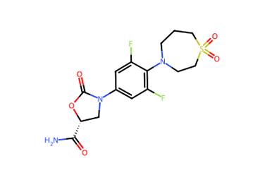 NC(=O)[C@H]1CN(c2cc(F)c(N3CCCS(=O)(=O)CC3)c(F)c2)C(=O)O1